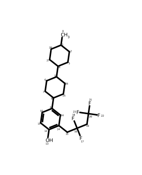 CC1CCC(C2CCC(c3ccc(O)c(CC(F)(F)CC(F)(F)F)c3)CC2)CC1